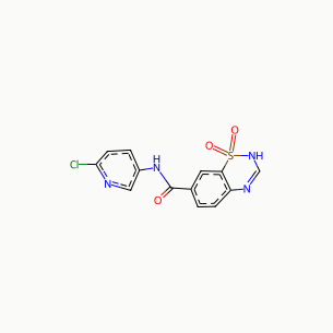 O=C(Nc1ccc(Cl)nc1)c1ccc2c(c1)S(=O)(=O)NC=N2